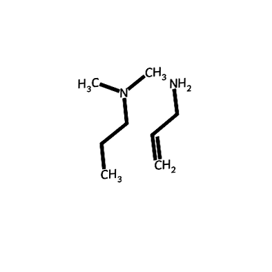 C=CCN.CCCN(C)C